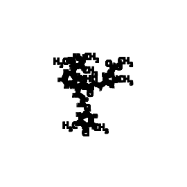 COC(=O)c1cc(CNC(=O)c2[nH]c3c(-c4c(C)nn(C)c4C)cccc3c2CCCOc2cc(C)c(Cl)c(C)c2)cn1C